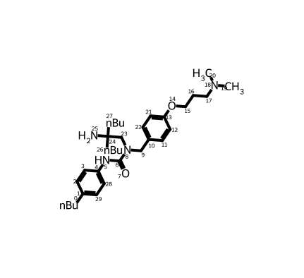 CCCCc1ccc(NC(=O)N(Cc2ccc(OCCCN(C)C)cc2)CC(N)(CCCC)CCCC)cc1